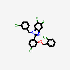 Fc1cc2nc(-c3ccc(Cl)cc3OCc3ccccc3Cl)n(Cc3cccc(Cl)c3)c2cc1F